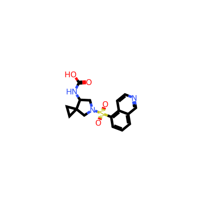 O=C(O)NC1CN(S(=O)(=O)c2cccc3cnccc23)CC12CC2